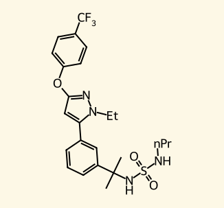 CCCNS(=O)(=O)NC(C)(C)c1cccc(-c2cc(Oc3ccc(C(F)(F)F)cc3)nn2CC)c1